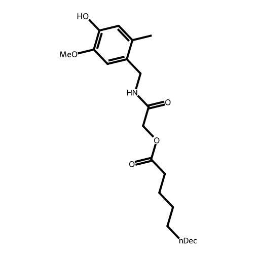 CCCCCCCCCCCCCCC(=O)OCC(=O)NCc1cc(OC)c(O)cc1C